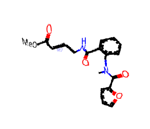 COC(=O)/C=C/CNC(=O)c1ccccc1N(C)C(=O)c1ccco1